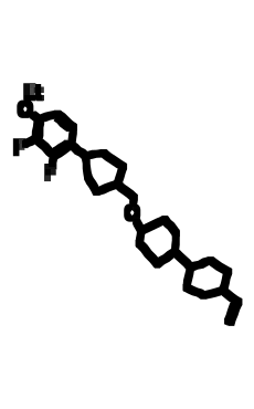 C=CC1CCC(C2CCC(OCC3CCC(c4ccc(OCC)c(F)c4F)CC3)CC2)CC1